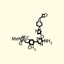 CNC(=O)NCc1c(C)cc(-c2cnc(N)c(Oc3cnn(C4CCN(CC5COC5)CC4)c3)n2)cc1C